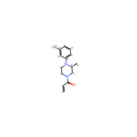 C=CC(=O)N1CCN(c2cccc(Cl)c2)[C@@H](C)C1